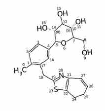 Cc1ccc(C2OC(CO)[C@@H](O)C(O)[C@H]2O)cc1Cc1nc2c(s1)CCC=C2